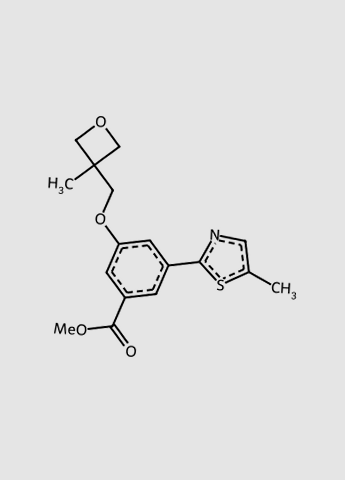 COC(=O)c1cc(OCC2(C)COC2)cc(-c2ncc(C)s2)c1